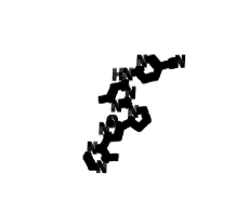 Cc1cc(Nc2ccc(C#N)cn2)nc(N2CCCC2c2cc(-c3nccnc3C)no2)n1